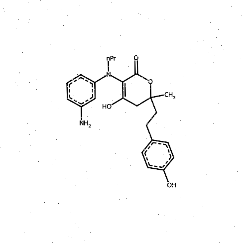 CCCN(C1=C(O)CC(C)(CCc2ccc(O)cc2)OC1=O)c1cccc(N)c1